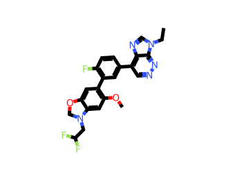 CCn1cnc2c(-c3ccc(F)c(-c4cc5c(cc4OC)N(CC(F)F)CO5)c3)cnnc21